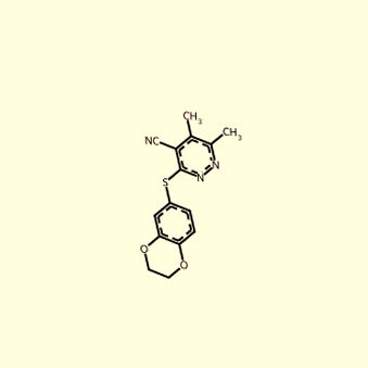 Cc1nnc(Sc2ccc3c(c2)OCCO3)c(C#N)c1C